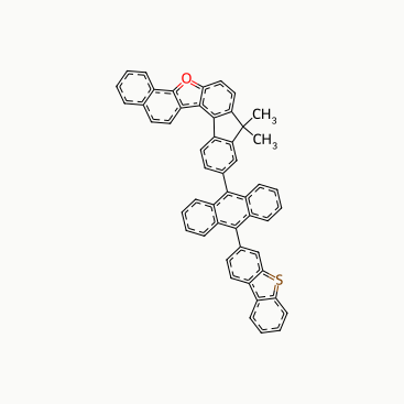 CC1(C)c2cc(-c3c4ccccc4c(-c4ccc5c(c4)sc4ccccc45)c4ccccc34)ccc2-c2c1ccc1oc3c4ccccc4ccc3c21